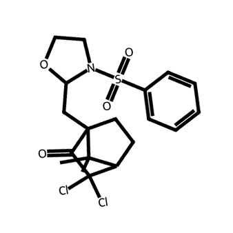 CC1(C)C2CCC1(CC1OCCN1S(=O)(=O)c1ccccc1)C(=O)C2(Cl)Cl